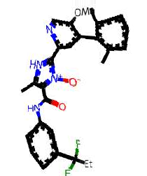 CCC(F)(F)c1cccc(NC(=O)c2c(C)[nH]c(-c3cc(-c4c(C)cccc4C)c(OC)cn3)[n+]2[O-])c1